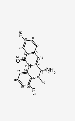 CC[C@H](N)c1nc2ccc(F)cc2c(=O)n1-c1cccc(F)c1